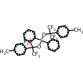 Cc1ccc(C(O[Si](OC(c2ccc(C)cc2)(C(F)(F)F)C(F)(F)F)(c2ccccc2)c2ccccc2)(C(F)(F)F)C(F)(F)F)cc1